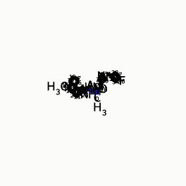 C/C=C(\C=C(/C(C)=O)c1cc2cc(CN(C)C3CCCCC3)ccc2[nH]1)NC(=O)c1cnn(Cc2ccc(F)cc2)c1